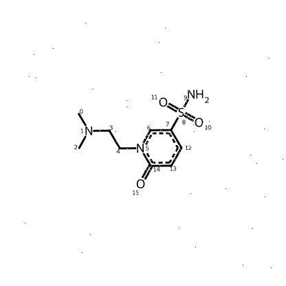 CN(C)CCn1cc(S(N)(=O)=O)ccc1=O